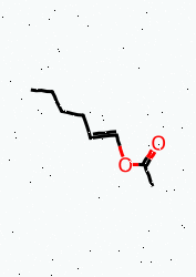 CCCCC=COC(C)=O